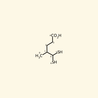 CC(CCC(=O)O)C(S)S